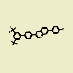 Fc1ccc(-c2ccc3cc(-c4ccc(-c5cc(C(F)(F)F)cc(C(F)(F)F)c5)cc4)cnc3c2)cc1